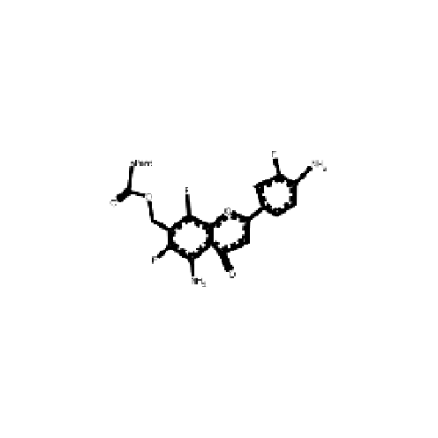 CCCCCC(=O)OCc1c(F)c(N)c2c(=O)cc(-c3ccc(N)c(F)c3)oc2c1F